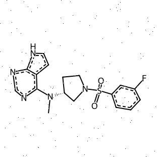 CN(c1ncnc2[nH]ccc12)[C@@H]1CCN(S(=O)(=O)c2cccc(F)c2)C1